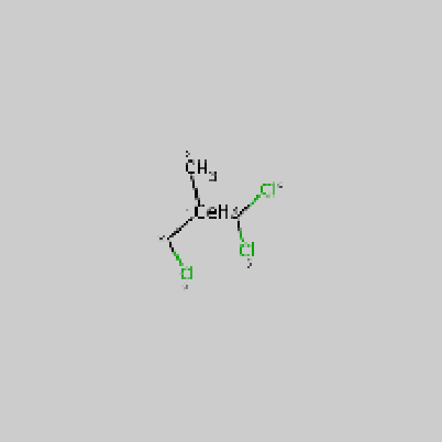 [CH3][GeH]([CH2]Cl)[CH](Cl)Cl